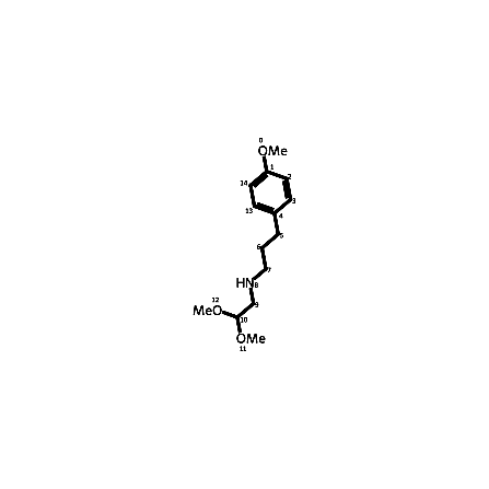 COc1ccc(CCCNCC(OC)OC)cc1